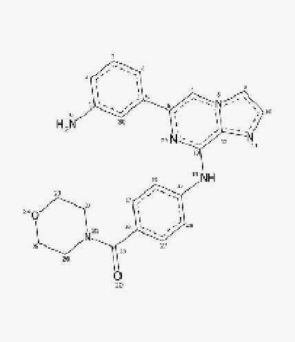 Nc1cccc(-c2cn3ccnc3c(Nc3ccc(C(=O)N4CCOCC4)cc3)n2)c1